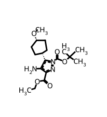 CCOC(=O)c1nn(C(=O)OC(C)(C)C)c([C@H]2CC[C@@H](OC)CC2)c1N